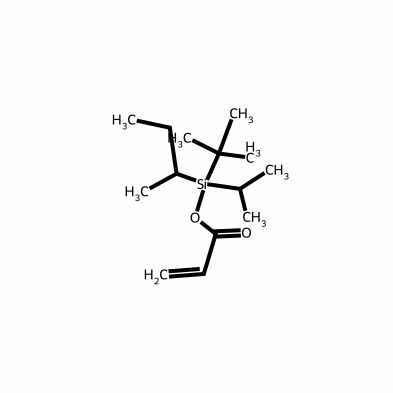 C=CC(=O)O[Si](C(C)C)(C(C)CC)C(C)(C)C